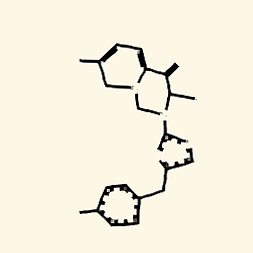 CC1=CC=C2C(=O)C(O)N(c3ncc(Cc4ccc(F)cc4)o3)CN2C1